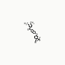 C=C/C=C(\C=C/CC)C(=O)N1CC2CC(Oc3ccc(C#N)c(C(F)(F)F)c3)CC2C1